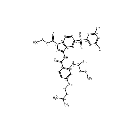 CCOC(=O)n1nc(NC(=O)c2ccc(OCCN(C)C)cc2NC(C)COC)c2cc(S(=O)(=O)c3cc(F)cc(F)c3)ccc21